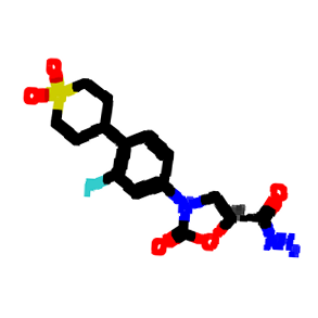 NC(=O)[C@H]1CN(c2ccc(C3CCS(=O)(=O)CC3)c(F)c2)C(=O)O1